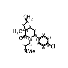 C=CC[C@@]1(C)CC[C@@H](c2ccc(Cl)cc2)N(CCNC)C1=O